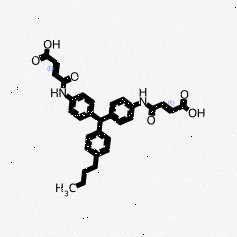 CCCCc1ccc(C(c2ccc(NC(=O)/C=C/C(=O)O)cc2)c2ccc(NC(=O)/C=C/C(=O)O)cc2)cc1